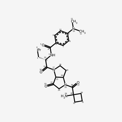 CC(C)C[C@H](NC(=O)c1ccc(N(C)C)cc1)C(=O)N1CCC2C1C(=O)CN2C(=O)C1(N)CCC1